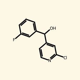 OC(c1c[c]cc(F)c1)c1ccnc(Cl)c1